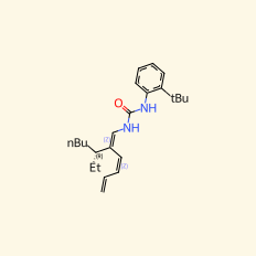 C=C/C=C\C(=C/NC(=O)Nc1ccccc1C(C)(C)C)[C@H](CC)CCCC